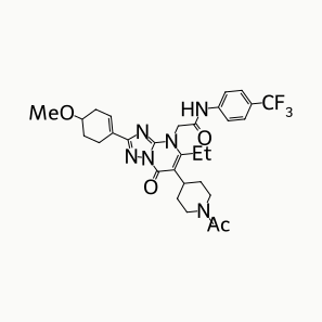 CCc1c(C2CCN(C(C)=O)CC2)c(=O)n2nc(C3=CCC(OC)CC3)nc2n1CC(=O)Nc1ccc(C(F)(F)F)cc1